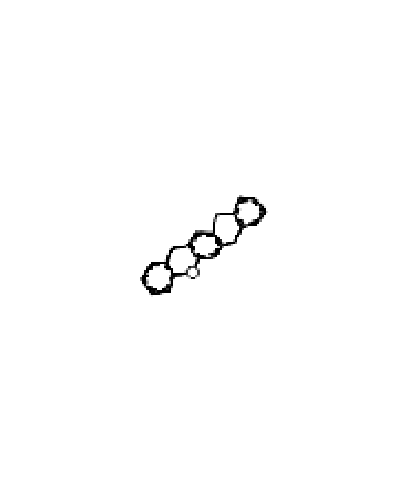 c1ccc2c(c1)Cc1cc3c(cc1C2)Oc1ccccc1C3